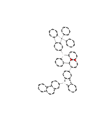 c1ccc(N(c2ccc3c(c2)C(c2ccccc2)(c2ccccc2)c2ccccc2-3)c2ccccc2-c2ccccc2-c2ccc3c(c2)c2ccccc2n3-c2ccc3c(ccc4ccccc43)c2)cc1